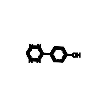 Oc1ccc(-c2nncnn2)cc1